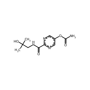 CC(C)(O)CNC(=O)c1ncc(OC(N)=O)cn1